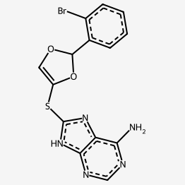 Nc1ncnc2[nH]c(SC3=COC(c4ccccc4Br)O3)nc12